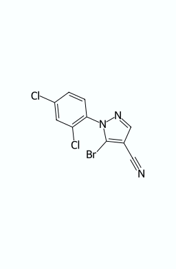 N#Cc1cnn(-c2ccc(Cl)cc2Cl)c1Br